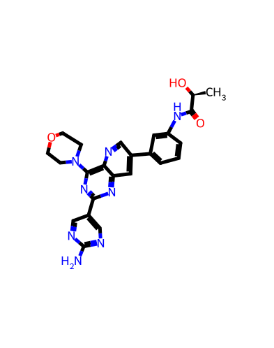 C[C@H](O)C(=O)Nc1cccc(-c2cnc3c(N4CCOCC4)nc(-c4cnc(N)nc4)nc3c2)c1